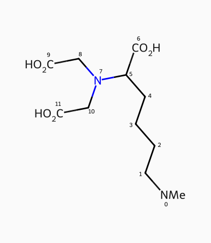 CNCCCCC(C(=O)O)N(CC(=O)O)CC(=O)O